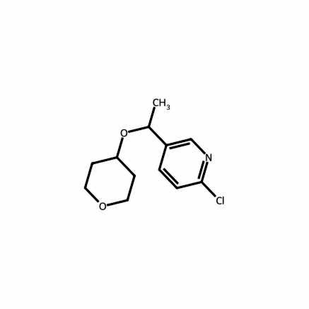 CC(OC1CCOCC1)c1ccc(Cl)nc1